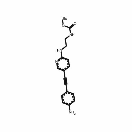 CC(C)(C)OC(=O)NCCNc1ccc(C#Cc2ccc(N)cc2)cn1